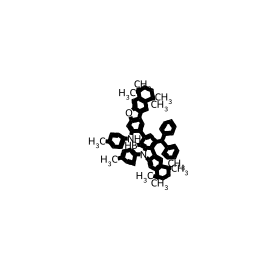 Cc1ccc(Nc2cc3oc4cc5c(cc4c3cc2-c2cc(C(c3ccccc3)c3ccccc3)c3c4cc6c(cc4n4c3c2Bc2cc(C)ccc2-4)C(C)(C)CCC6(C)C)C(C)(C)CCC5(C)C)cc1